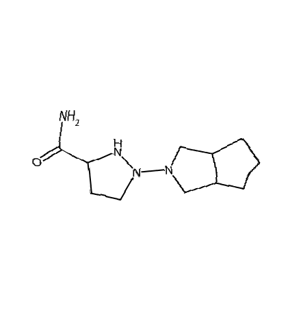 NC(=O)C1CCN(N2CC3CCCC3C2)N1